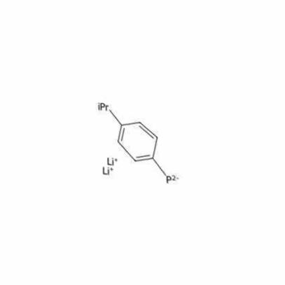 CC(C)c1ccc([P-2])cc1.[Li+].[Li+]